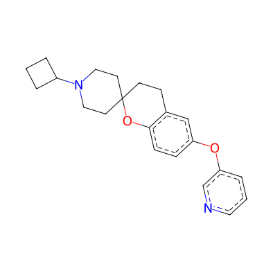 c1cncc(Oc2ccc3c(c2)CCC2(CCN(C4CCC4)CC2)O3)c1